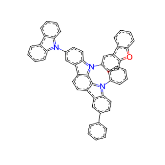 c1ccc(-c2ccc3c(c2)c2ccc4c5cc(-n6c7ccccc7c7ccccc76)ccc5n(-c5ccc6oc7ccccc7c6c5)c4c2n3-c2ccccc2)cc1